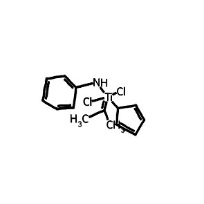 C[C](C)=[Ti]([Cl])([Cl])([NH]c1ccccc1)[CH]1C=CC=C1